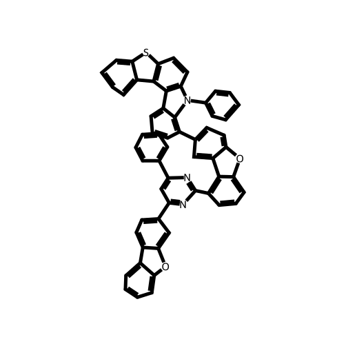 c1ccc(-c2cc(-c3ccc4c(c3)oc3ccccc34)nc(-c3cccc4oc5ccc(-c6cccc7c8c9c(ccc8n(-c8ccccc8)c67)sc6ccccc69)cc5c34)n2)cc1